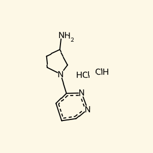 Cl.Cl.NC1CCN(c2cccnn2)C1